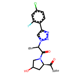 CNC(=O)[C@H]1CC(O)CN1C(=O)C(n1cc(-c2ccc(Cl)cc2F)nn1)C(C)(C)C